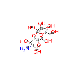 NC1C(O)[C@H](O[C@@H]2OC(CO)[C@H](O)C(O)C2O)C(CO)O[C@H]1O